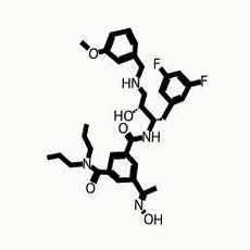 CCCN(CCC)C(=O)c1cc(C(=O)N[C@@H](Cc2cc(F)cc(F)c2)[C@H](O)CNCc2cccc(OC)c2)cc(/C(C)=N/O)c1